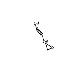 C1CO1.OC#CO